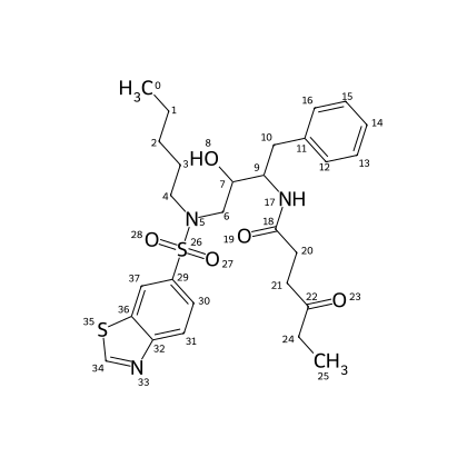 CCCCCN(CC(O)C(Cc1ccccc1)NC(=O)CCC(=O)CC)S(=O)(=O)c1ccc2ncsc2c1